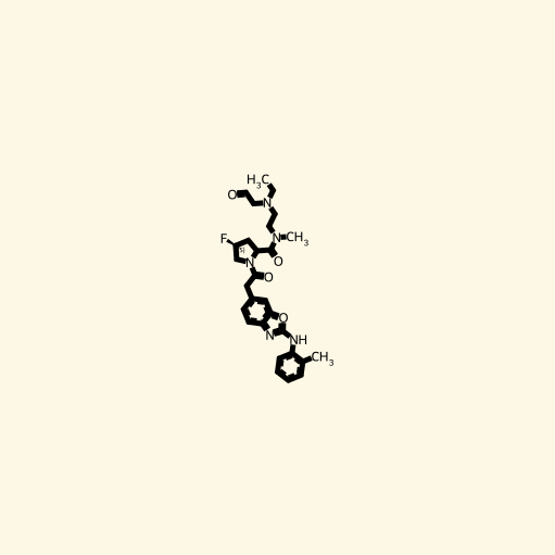 CCN(CC=O)CCN(C)C(=O)C1C[C@H](F)CN1C(=O)Cc1ccc2nc(Nc3ccccc3C)oc2c1